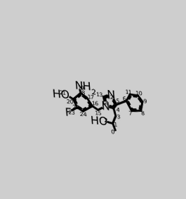 CC(O)Cc1c(-c2ccccc2)ncn1Cc1cc(N)c(O)c(F)c1